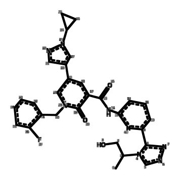 CC(CO)n1cnnc1-c1cccc(NC(=O)c2cc(-c3cnn(C4CC4)c3)cn(Cc3ccccc3F)c2=O)n1